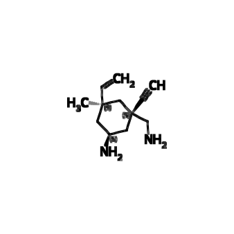 C#C[C@@]1(CN)C[C@@H](N)C[C@@](C)(C=C)C1